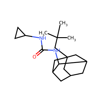 CC(C)(C)CC12CC3CC(C1)C(NC(=O)NC1CC1)C(C3)C2